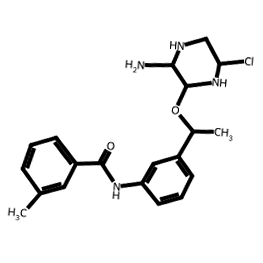 Cc1cccc(C(=O)Nc2cccc(C(C)OC3NC(Cl)CNC3N)c2)c1